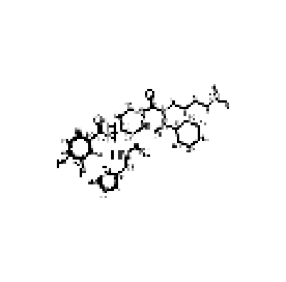 CN(C)CCCC[C@H](C(=O)N1CC[C@@H](NC(=O)c2ccc(F)c(F)c2)[C@@H](C(=O)NCc2cccs2)C1)N(C)C1CCCCC1